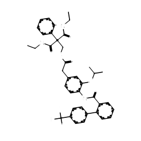 CCNC(=O)C(COC(=O)Cc1ccc(NC(=O)c2ccccc2-c2ccc(C(F)(F)F)cc2)c(OC(C)C)c1)(C(=O)NCC)c1ccccc1